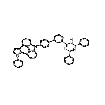 c1ccc(C2=NC(c3ccccc3)NC(c3cccc(-c4ccc(-n5c6cccc7c8ccn(-c9ccccc9)c8c8cccc5c8c76)cc4)c3)=N2)cc1